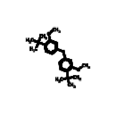 COc1cc(Cc2ccc(C(C)(C)C)c(OC)c2)ccc1C(C)(C)C